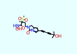 CC(C)(O)C#CC#Cc1cc2n(c1)C(=O)N(CC[C@](C)(C(=O)NO)S(C)(=O)=O)C2